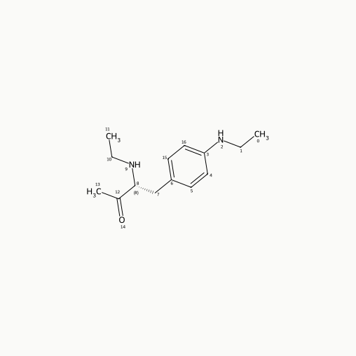 CCNc1ccc(C[C@@H](NCC)C(C)=O)cc1